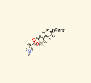 C=C(CN(C)C)C(=O)Oc1ccc(C2CCC(CCCCC)CC2)cc1